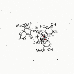 COc1cc2c(cc1O)CCN[C@@]21SC[C@@H]2c3c(OC(C)=O)c(OC)c4c(c3C(COC1=O)N1C2C2c3c(cc(C)c(O)c3O)CC([C@@H]1O)N2C)OCO4